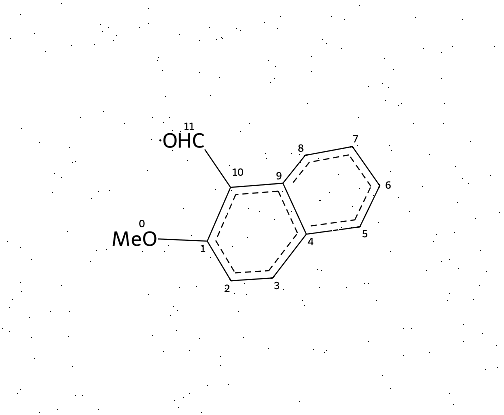 COc1ccc2ccccc2c1[C]=O